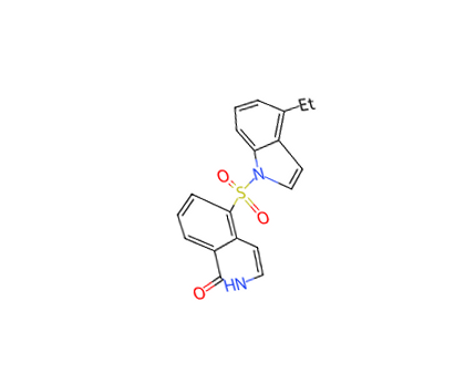 CCc1cccc2c1ccn2S(=O)(=O)c1cccc2c(=O)[nH]ccc12